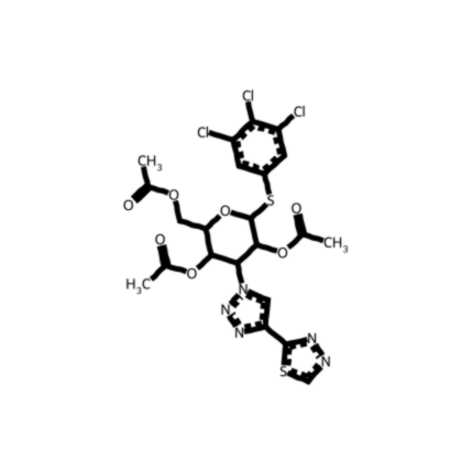 CC(=O)OCC1OC(Sc2cc(Cl)c(Cl)c(Cl)c2)C(OC(C)=O)C(n2cc(-c3nncs3)nn2)C1OC(C)=O